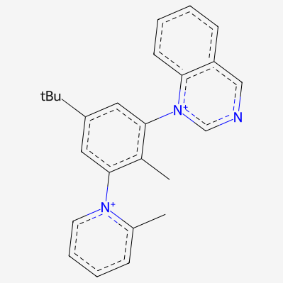 Cc1c(-[n+]2ccccc2C)cc(C(C)(C)C)cc1-[n+]1cncc2ccccc21